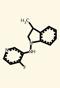 CC1CN(Nc2cnccc2F)c2ccccc21